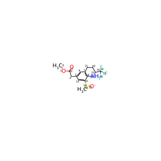 COC(=O)Cc1cc2c(c([S+](C)[O-])c1)NC(C(F)(F)F)CC2